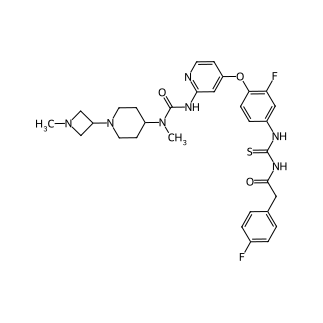 CN1CC(N2CCC(N(C)C(=O)Nc3cc(Oc4ccc(NC(=S)NC(=O)Cc5ccc(F)cc5)cc4F)ccn3)CC2)C1